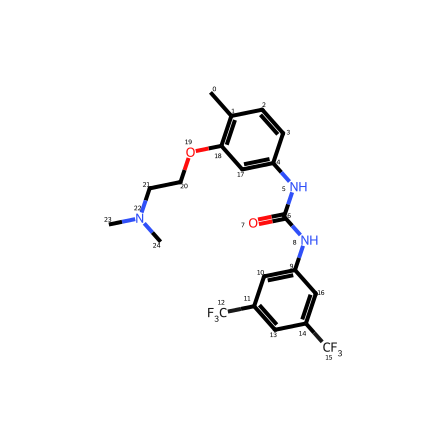 Cc1ccc(NC(=O)Nc2cc(C(F)(F)F)cc(C(F)(F)F)c2)cc1OCCN(C)C